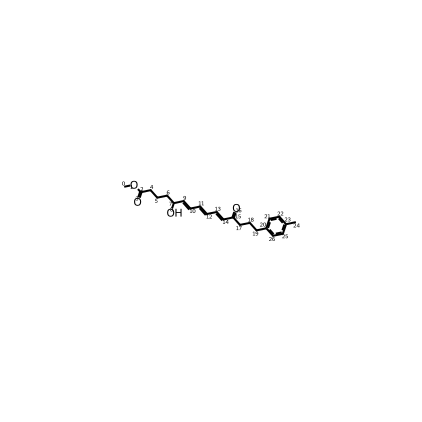 COC(=O)CCCC(O)/C=C/C=C/C=C/C(=O)CCCc1ccc(C)cc1